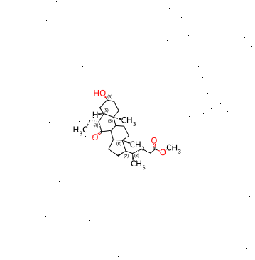 CC[C@H]1C(=O)C2C3CC[C@H]([C@H](C)CCC(=O)OC)[C@@]3(C)CCC2[C@@]2(C)CC[C@H](O)C[C@@H]12